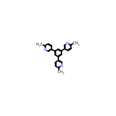 Cc1ccc(-c2cc(-c3ccc(C)nc3)cc(-c3ccc(C)nc3)c2)cn1